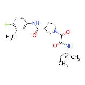 CC[C@@H](C)NC(=O)C(=O)N1CCC(C(=O)Nc2ccc(F)c(C)c2)C1